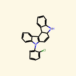 Clc1ccccc1-n1c2c(c3ccccc31)C1c3ccccc3NC1C=C2